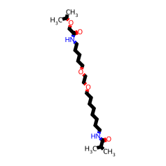 CC(C)OCC(=O)NCCCCCOCCOCCCCCCCCNC(=O)C(C)C